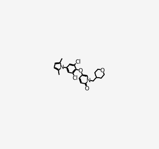 Cc1ccc(C)n1-c1cc(Cl)c(Oc2ccc(=O)n(CC3CCOCC3)c2)c(Cl)c1